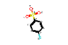 [O]S(=O)(=O)c1ccc(F)cc1